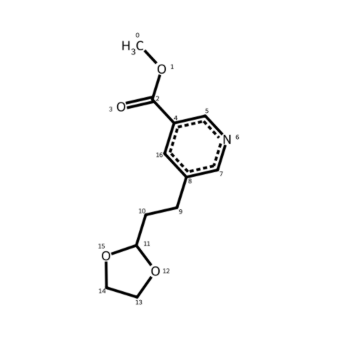 COC(=O)c1cncc(CCC2OCCO2)c1